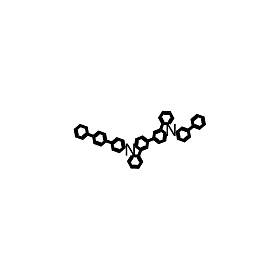 C1=CCCC(c2ccc(-c3ccc(-n4c5ccccc5c5cc(-c6ccc7c(c6)c6ccccc6n7-c6cccc(-c7ccccc7)c6)ccc54)cc3)cc2)=C1